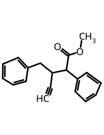 C#CC(Cc1ccccc1)C(C(=O)OC)c1ccccc1